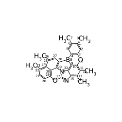 Cc1cc2c(cc1C)B1c3c(c(C)c(C)c4nc5oc6ccc(C)c7c(C)cc1c(c67)n5c34)O2